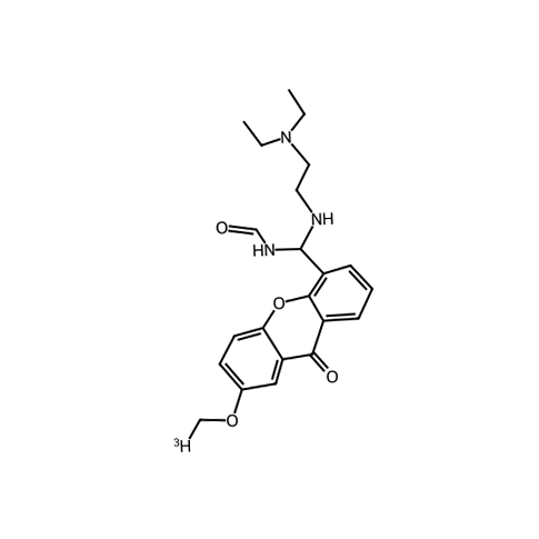 [3H]COc1ccc2oc3c(C(NC=O)NCCN(CC)CC)cccc3c(=O)c2c1